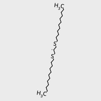 CCCCCCCCCCCCSC[CH]CSCCCCCCCCCCCC